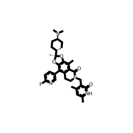 Cc1cc(C)c(CN2CCc3c(c(C)c4c(c3-c3ccc(F)nc3)O[C@@](C)([C@H]3CC[C@H](N(C)C)CC3)O4)C2=O)c(=O)[nH]1